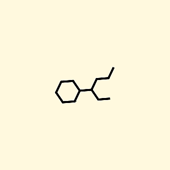 CCCC(CC)C1[CH]CCCC1